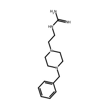 N=C(N)NCCN1CCN(Cc2ccccc2)CC1